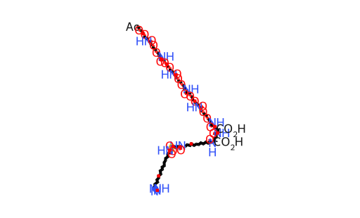 CC(=O)COCCOCCNC(=O)COCCOCCNC(=O)COCCOCCNC(=O)COCCOCCNC(=O)COCCOCCNC(=O)COCCOCCNC(=O)CC[C@H](NC(=O)CC[C@H](NC(=O)CCCCCCCCCCCNC(=O)CCCS(=O)(=O)NC(=O)CCCCCCCCCCCCCCCc1nnn[nH]1)C(=O)O)C(=O)O